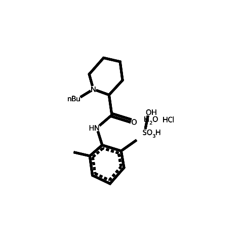 CCCCN1CCCCC1C(=O)Nc1c(C)cccc1C.Cl.O.O=S(=O)(O)O